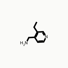 CCc1cnccc1CN